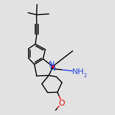 COC1CCC2(CC1)Cc1ccc(C#CC(C)(C)C)cc1C21N=C(C)C(N)=N1